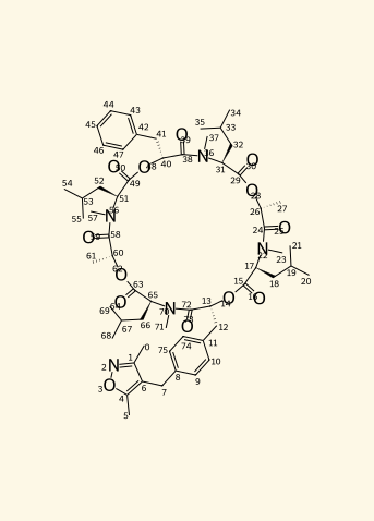 Cc1noc(C)c1Cc1ccc(C[C@H]2OC(=O)[C@H](CC(C)C)N(C)C(=O)[C@@H](C)OC(=O)[C@H](CC(C)C)N(C)C(=O)[C@@H](Cc3ccccc3)OC(=O)[C@H](CC(C)C)N(C)C(=O)[C@@H](C)OC(=O)[C@H](CC(C)C)N(C)C2=O)cc1